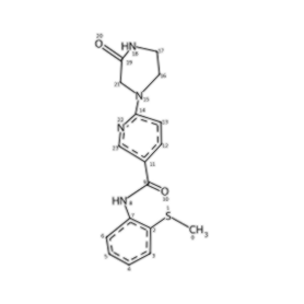 CSc1ccccc1NC(=O)c1ccc(N2CCNC(=O)C2)nc1